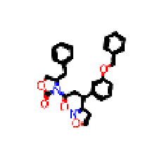 O=C(CC(c1cccc(OCc2ccccc2)c1)c1ccon1)N1C(=O)OCC1Cc1ccccc1